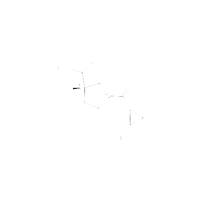 CC(C)[C@@]1(C)CCN(C(=O)[C@@H]2C[C@@H]2F)C1